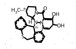 C[C@@H]1CCN2C(=O)C3=C(O)C(O)C=CN3N([C@@H]3c4ccccc4SCc4cccc(F)c43)[C@@H]2C1